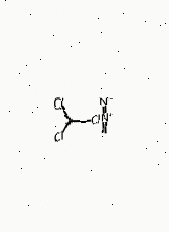 C=[N+]=[N-].ClC(Cl)Cl